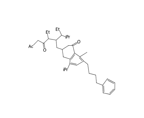 CCC(C(=O)CC(C)=O)C(CC1CC(=O)c2c(C)c(CCCCc3ccccc3)cc(C(C)C)c2C1)C(CC)C(C)C